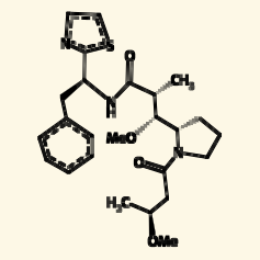 CO[C@H]([C@@H](C)C(=O)N[C@@H](Cc1ccccc1)c1nccs1)[C@@H]1CCCN1C(=O)C[C@H](C)OC